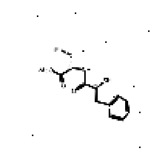 COC(=O)[C@H](CC(C)C)NC(=O)[C@@H](S)Cc1ccccc1